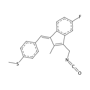 CSc1ccc(C=C2C(C)=C(CN=C=O)c3cc(F)ccc32)cc1